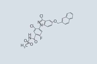 CS(=O)(=O)NC(=O)c1cc(Cl)c(-n2nc(Cl)c3cc(OCc4ccc5ccccc5c4)ccc32)cc1F